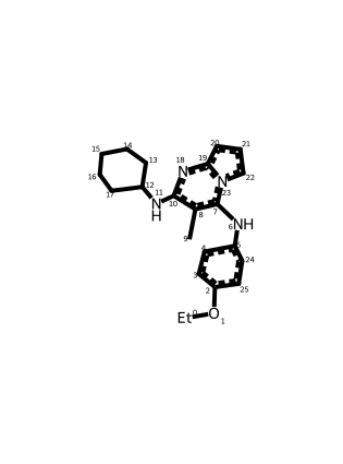 CCOc1ccc(Nc2c(C)c(NC3CCCCC3)nc3cccn23)cc1